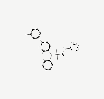 Cc1cccc(-c2ccc3c(n2)Oc2ccccc2[C@@H]3C(C)(C)C(=O)Nc2nncs2)c1